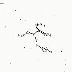 CON(C)C(=N)N